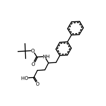 CC(C)(C)OC(=O)NC(CCC(=O)O)Cc1ccc(-c2ccccc2)cc1